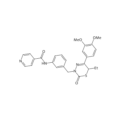 CCC1SC(=O)N(Cc2cccc(NC(=O)c3ccncc3)c2)N=C1c1ccc(OC)c(OC)c1